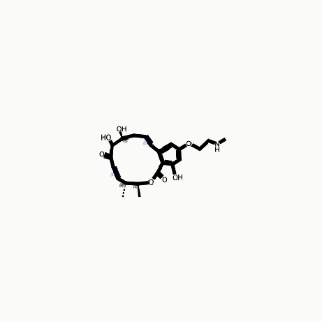 CNCCOc1cc(O)c2c(c1)/C=C/C[C@H](O)C(O)C(=O)/C=C\[C@@H](C)[C@H](C)OC2=O